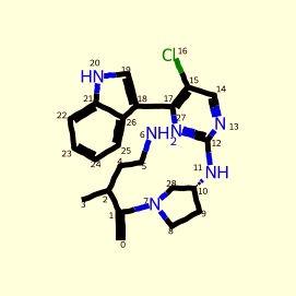 C=C(C(C)CCN)N1CC[C@@H](Nc2ncc(Cl)c(-c3c[nH]c4ccccc34)n2)C1